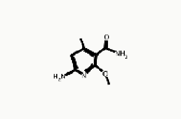 COc1nc(N)cc(C)c1C(N)=O